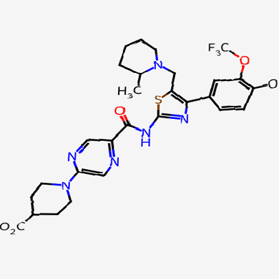 COc1ccc(-c2nc(NC(=O)c3cnc(N4CCC(C(=O)O)CC4)cn3)sc2CN2CCCCC2C)cc1OC(F)(F)F